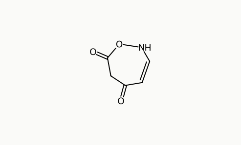 O=C1C=CNOC(=O)C1